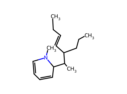 CCC=CC(CCC)C(C)C1C=CC=CN1C